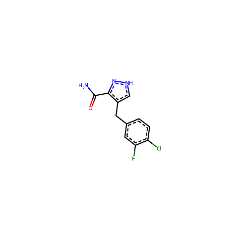 NC(=O)c1n[nH]cc1[CH]c1ccc(Cl)c(F)c1